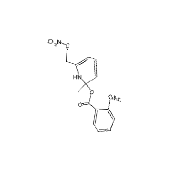 CC(=O)Oc1ccccc1C(=O)OC1(C)C=CC=C(CO[N+](=O)[O-])N1